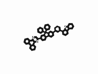 C1=C(c2ccc3c(c2)C(c2ccccc2)(c2ccccc2)c2cc(-c4cnc5c6ccccc6c6ccccc6c5n4)ccc2-3)CCC=C1c1cccc2c1sc1ccccc12